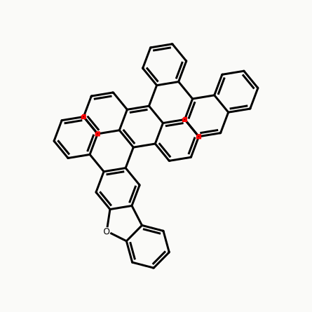 c1ccc(-c2cc3oc4ccccc4c3cc2-c2c3ccccc3c(-c3ccccc3-c3cccc4ccccc34)c3ccccc23)cc1